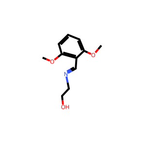 COc1cccc(OC)c1C=NCCO